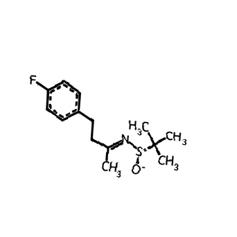 CC(CCc1ccc(F)cc1)=N[S@+]([O-])C(C)(C)C